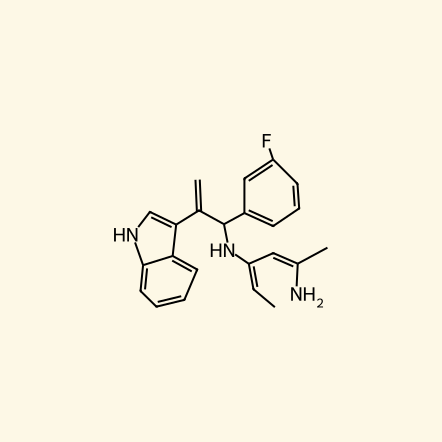 C=C(c1c[nH]c2ccccc12)C(NC(/C=C(/C)N)=C/C)c1cccc(F)c1